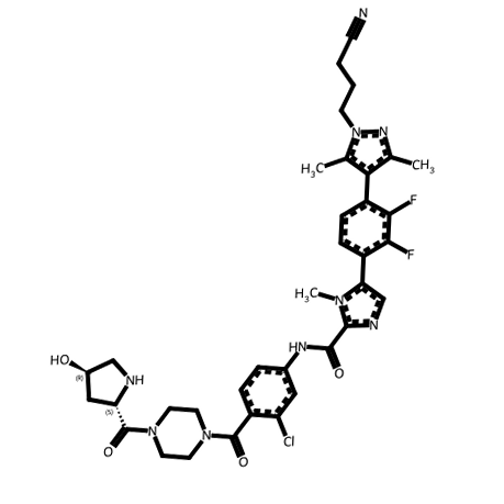 Cc1nn(CCCC#N)c(C)c1-c1ccc(-c2cnc(C(=O)Nc3ccc(C(=O)N4CCN(C(=O)[C@@H]5C[C@@H](O)CN5)CC4)c(Cl)c3)n2C)c(F)c1F